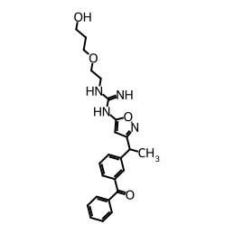 CC(c1cccc(C(=O)c2ccccc2)c1)c1cc(NC(=N)NCCOCCCO)on1